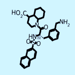 NCc1cccc(C[C@H](NS(=O)(=O)c2ccc3ccccc3c2)C(=O)N2CCC(C(=O)O)C3CCCCC32)c1